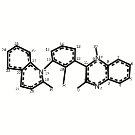 Cc1nc2ccccc2[n+](C)c1-c1cccc(-[n+]2c(C)ccc3ccccc32)c1C